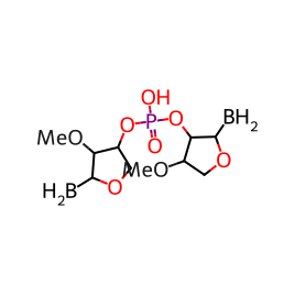 BC1OCC(OP(=O)(O)OC2C(B)OCC2OC)C1OC